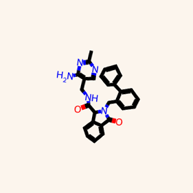 Cc1ncc(CNC(=O)C2c3ccccc3C(=O)N2Cc2ccccc2-c2ccccc2)c(N)n1